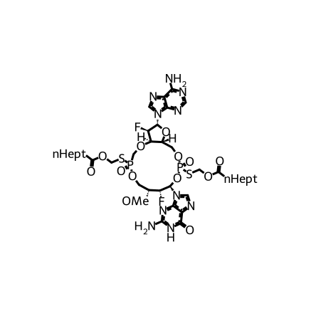 CCCCCCCC(=O)OCSP1(=O)CO[C@H]2[C@@H](F)[C@H](n3cnc4c(N)ncnc43)O[C@@H]2COP(=O)(SCOC(=O)CCCCCCC)O[C@@H](n2cnc3c(=O)[nH]c(N)nc32)[C@H](F)[C@H](OC)CO1